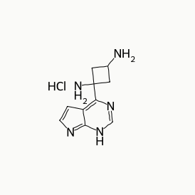 Cl.NC1CC(N)(c2nc[nH]c3nccc2-3)C1